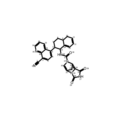 N#Cc1ccc(C2CCC3CC=CC=C3C2NC(=O)N2C=C3CC2=C2C(=O)NC(=O)N32)c2cccnc12